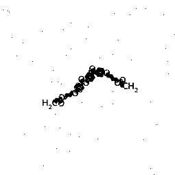 C=CC(=O)OCCCCOc1ccc(C(=O)Oc2cc[c]([Co](=[O])[c]3ccc(OCCCCOC(=O)C=C)cc3)cc2)cc1